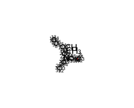 CC1(C)c2ccc(-c3ccc4ccccc4c3)cc2-c2ccc(N(c3ccc(C4CCCCC4)cc3)c3ccc(C4CC5CCC4CC5)cc3)cc21